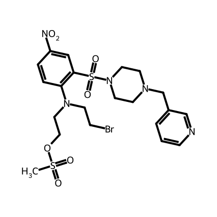 CS(=O)(=O)OCCN(CCBr)c1ccc([N+](=O)[O-])cc1S(=O)(=O)N1CCN(Cc2cccnc2)CC1